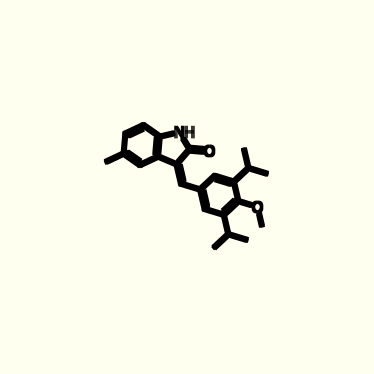 COc1c(C(C)C)cc(/C=C2\C(=O)Nc3ccc(C)cc32)cc1C(C)C